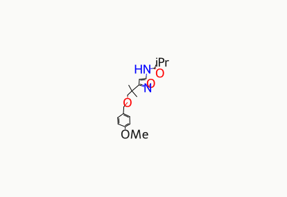 COc1ccc(COCC(C)(C)c2cc(NC(=O)C(C)C)on2)cc1